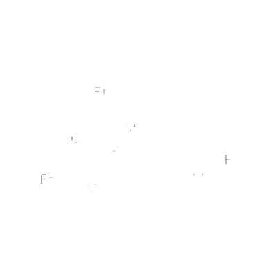 CCOC=CP(=O)(OCC)OCC